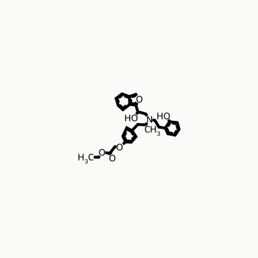 CCOC(=O)COc1ccc(CC(C)N(CCc2ccccc2O)CC(O)c2occ3ccccc23)cc1